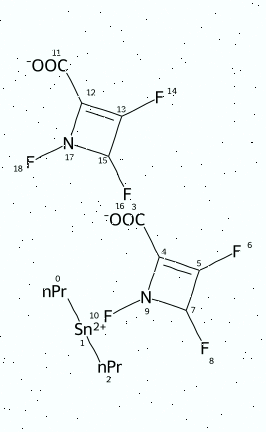 CC[CH2][Sn+2][CH2]CC.O=C([O-])C1=C(F)C(F)N1F.O=C([O-])C1=C(F)C(F)N1F